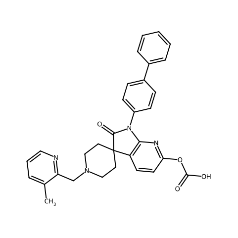 Cc1cccnc1CN1CCC2(CC1)C(=O)N(c1ccc(-c3ccccc3)cc1)c1nc(OC(=O)O)ccc12